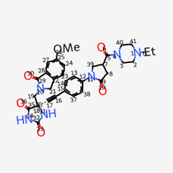 CCN1CCN(C(=O)C2CC(=O)N(c3ccc(C#C[C@]4(CN5Cc6ccc(OC)cc6C5=O)NC(=O)NC4=O)cc3)C2)CC1